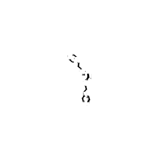 C(CSc1nnc(SCCCN2CCOCC2)s1)CN1CCOCC1